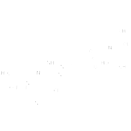 Cc1c(C#N)c(NCC(C)O)nc(Nc2ccccc2)c1/N=N/c1ccc(S(=O)(=O)CCN(CC(C)O)CC(C)O)cc1